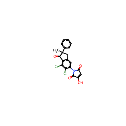 CC1(c2ccccc2)Cc2cc(N3C(=O)C=C(O)C3=O)c(Cl)c(Cl)c2C1=O